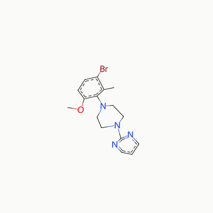 COc1ccc(Br)c(C)c1N1CCN(c2ncccn2)CC1